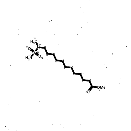 COC(=O)CCCCCCCCCCCN(C)S(N)(=O)=O